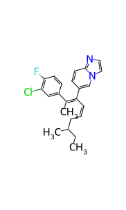 CCC(C)C/C=C\C(=C(/C)c1ccc(F)c(Cl)c1)c1ccc2nccn2c1